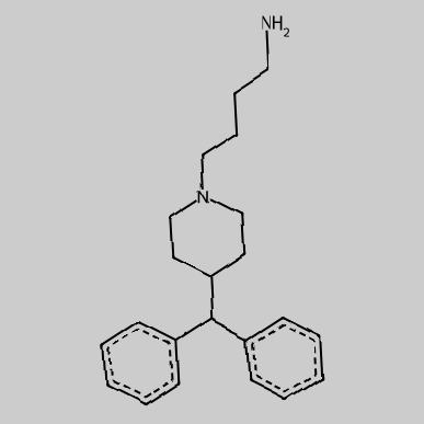 NCCCCN1CCC(C(c2ccccc2)c2ccccc2)CC1